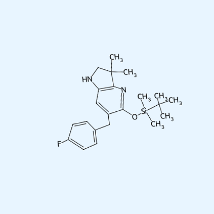 CC1(C)CNc2cc(Cc3ccc(F)cc3)c(O[Si](C)(C)C(C)(C)C)nc21